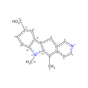 Cc1c2ccncc2cc2c3cc(C(=O)O)ccc3n(C)c12